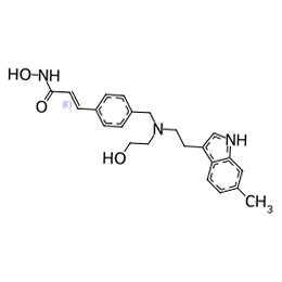 Cc1ccc2c(CCN(CCO)Cc3ccc(/C=C/C(=O)NO)cc3)c[nH]c2c1